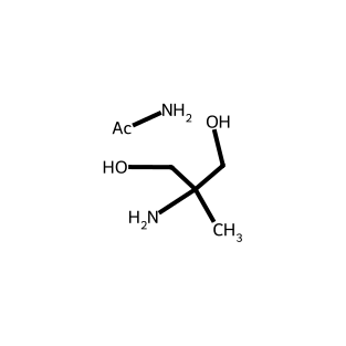 CC(N)(CO)CO.CC(N)=O